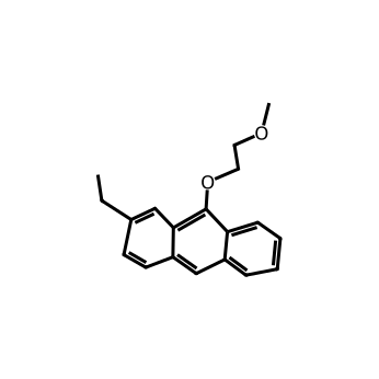 CCc1ccc2cc3ccccc3c(OCCOC)c2c1